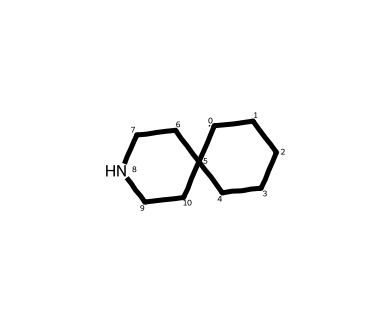 [CH]1CCCCC12CCNCC2